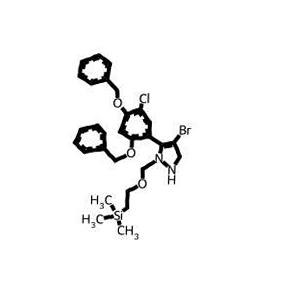 C[Si](C)(C)CCOCN1NCC(Br)=C1c1cc(Cl)c(OCc2ccccc2)cc1OCc1ccccc1